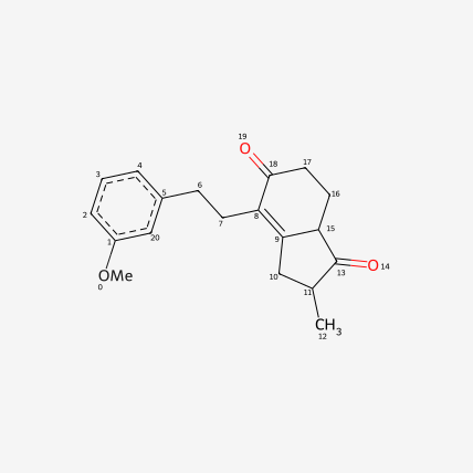 COc1cccc(CCC2=C3CC(C)C(=O)C3CCC2=O)c1